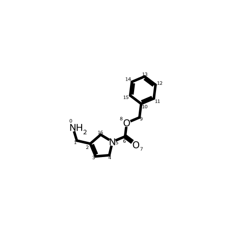 NCC1=CCN(C(=O)OCc2ccccc2)C1